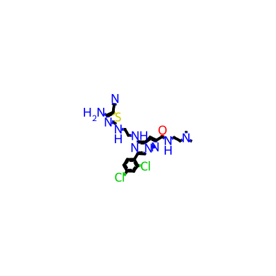 CN(C)CCNC(=O)c1cc2c(NCCNc3nc(N)c(C#N)s3)nc(-c3ccc(Cl)cc3Cl)cn2n1